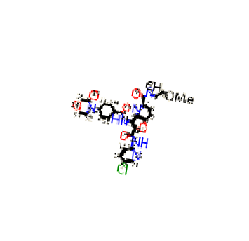 COCCN(C)C(=O)c1ccc2oc(C(=O)Nc3ccc(Cl)cn3)c(NC(=O)[C@H]3CC[C@H](N4CCOCC4=O)CC3)c2n1